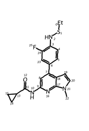 CCSNc1ccc(-c2cc(NC(=O)C3CC3)nc3c2ccn3C)cc1F